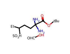 CCC(CCC(N)(N)C(=O)OC(C)(C)C)S(=O)(=O)O.O=CO